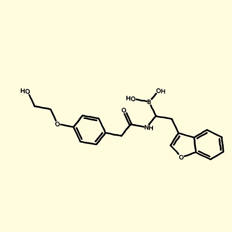 O=C(Cc1ccc(OCCO)cc1)NC(Cc1coc2ccccc12)B(O)O